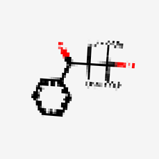 COC(O)(C(=O)O)C(OC)(OC)C(=O)c1ccccc1